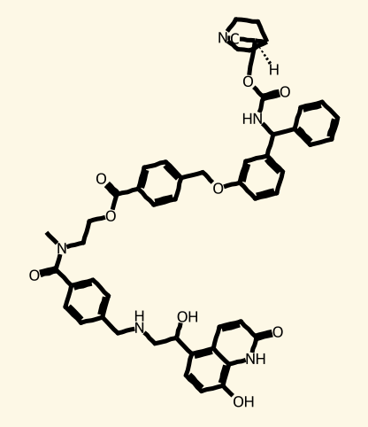 CN(CCOC(=O)c1ccc(COc2cccc(C(NC(=O)O[C@H]3CN4CCC3CC4)c3ccccc3)c2)cc1)C(=O)c1ccc(CNCC(O)c2ccc(O)c3[nH]c(=O)ccc23)cc1